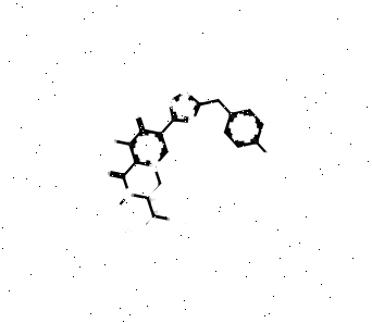 CCN1C(=O)c2c(O)c(=O)c(-c3nnc(Cc4ccc(F)cc4)s3)cn2C[C@H]1[C@@H](C)OC